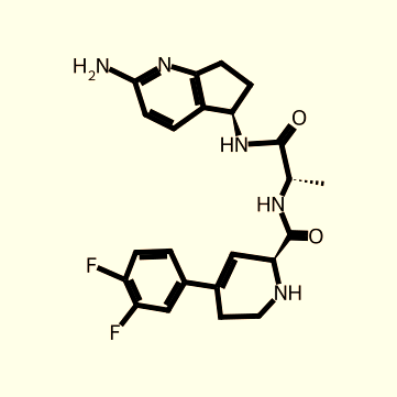 C[C@H](NC(=O)[C@@H]1C=C(c2ccc(F)c(F)c2)CCN1)C(=O)N[C@@H]1CCc2nc(N)ccc21